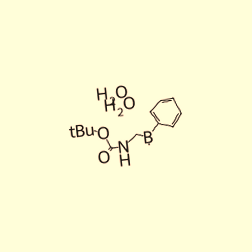 CC(C)(C)OC(=O)NC[B]c1ccccc1.O.O